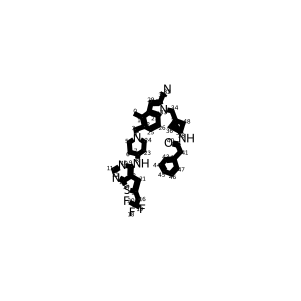 Cc1c(CN2CCC(Nc3ncnc4sc(CC(F)(F)F)cc34)CC2)ccc2c1cc(C#N)n2CC12CC(NC(=O)Cc3ccccc3)(C1)C2